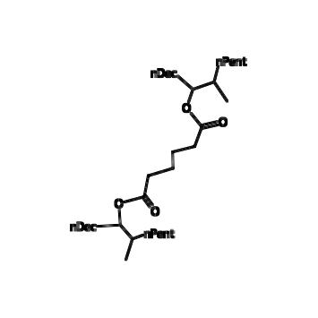 CCCCCCCCCCC(OC(=O)CCCCC(=O)OC(CCCCCCCCCC)C(C)CCCCC)C(C)CCCCC